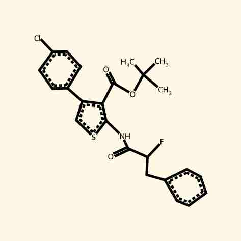 CC(C)(C)OC(=O)c1c(-c2ccc(Cl)cc2)csc1NC(=O)C(F)Cc1ccccc1